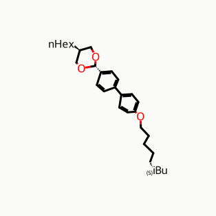 CCCCCC[C@H]1CO[C@H](c2ccc(-c3ccc(OCCCCC[C@@H](C)CC)cc3)cc2)OC1